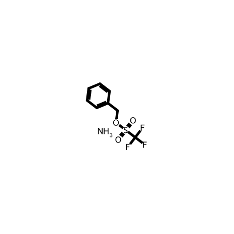 N.O=S(=O)(OCc1ccccc1)C(F)(F)F